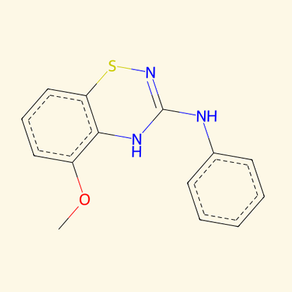 COc1cccc2c1NC(Nc1ccccc1)=NS2